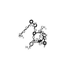 CCOC(=O)[C@H]1Cc2cc(ccc2OCc2ccnc(-c3ccccc3OCCOCCOCCOC)n2)OC[C@@H](CN2CCN(C)CC2)Oc2c(Cl)c(C)c(c(C)c2Cl)-c2c(-c3ccc(F)cc3)sc3ncnc(c23)O1